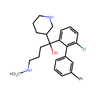 CC(C)c1cccc(-c2c(Cl)cccc2C(O)(CCCNC(=O)O)C2CCCNC2)c1